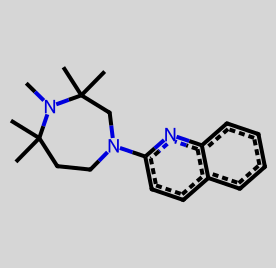 CN1C(C)(C)CCN(c2ccc3ccccc3n2)CC1(C)C